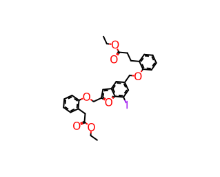 CCOC(=O)CCc1ccccc1OCc1cc(I)c2oc(COc3ccccc3CC(=O)OCC)cc2c1